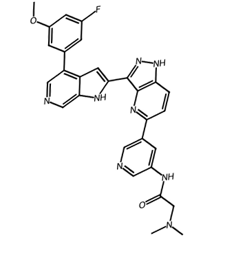 COc1cc(F)cc(-c2cncc3[nH]c(-c4n[nH]c5ccc(-c6cncc(NC(=O)CN(C)C)c6)nc45)cc23)c1